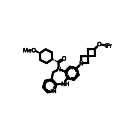 CO[C@H]1CC[C@H](C(=O)N2Cc3cccnc3Nc3ccc(N4CC5(CC(OC(C)C)C5)C4)cc32)CC1